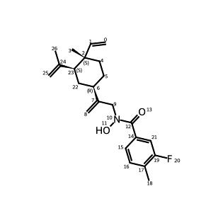 C=C[C@]1(C)CC[C@@H](C(=C)CN(O)C(=O)c2ccc(C)c(F)c2)C[C@H]1C(=C)C